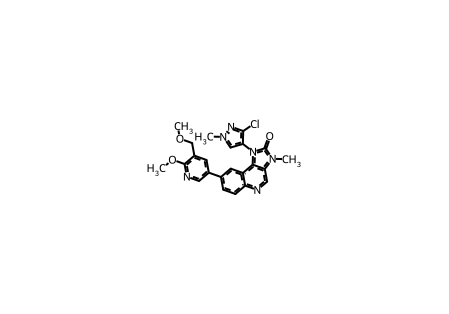 COCc1cc(-c2ccc3ncc4c(c3c2)n(-c2cn(C)nc2Cl)c(=O)n4C)cnc1OC